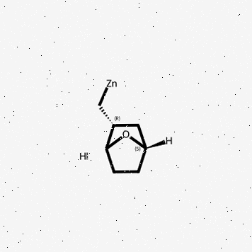 I.[Zn][CH2][C@@H]1C[C@@H]2CCC1O2